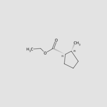 CCOC(=O)[C@H]1CCC[C@H]1C